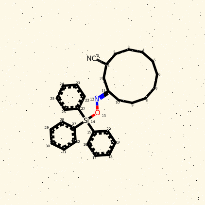 N#CC1CCCCCCCCC/C(=N\O[Si](c2ccccc2)(c2ccccc2)c2ccccc2)C1